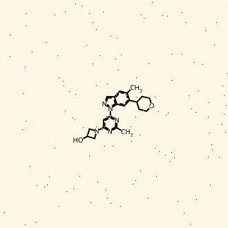 Cc1nc(N2CC(O)C2)cc(-n2ncc3cc(C)c(C4CCOCC4)cc32)n1